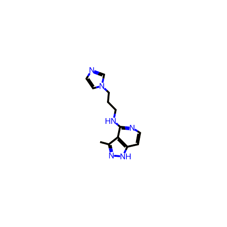 Cc1n[nH]c2ccnc(NCCCn3ccnc3)c12